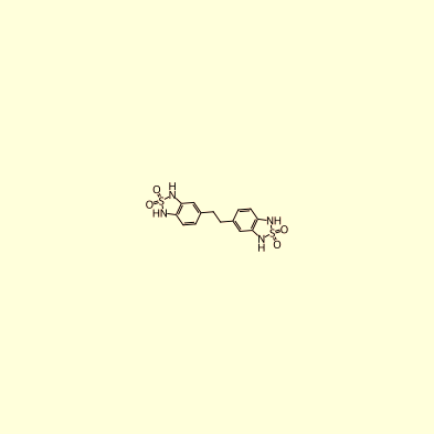 O=S1(=O)Nc2ccc(CCc3ccc4c(c3)NS(=O)(=O)N4)cc2N1